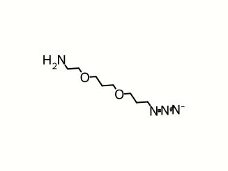 [N-]=[N+]=NCCCOCCCOCCN